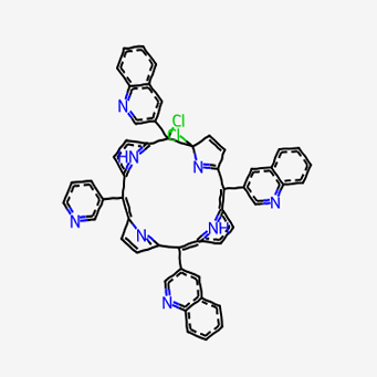 ClC12C=CC(=N1)C(c1cnc3ccccc3c1)=c1ccc([nH]1)=C(c1cnc3ccccc3c1)C1=NC(=C(c3cccnc3)c3ccc([nH]3)C2(Cl)c2cnc3ccccc3c2)C=C1